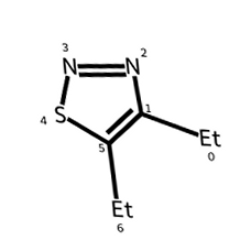 CCc1nnsc1CC